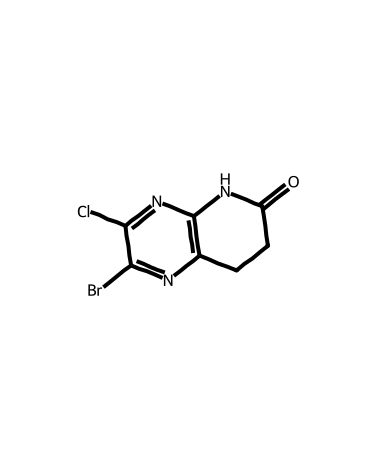 O=C1CCc2nc(Br)c(Cl)nc2N1